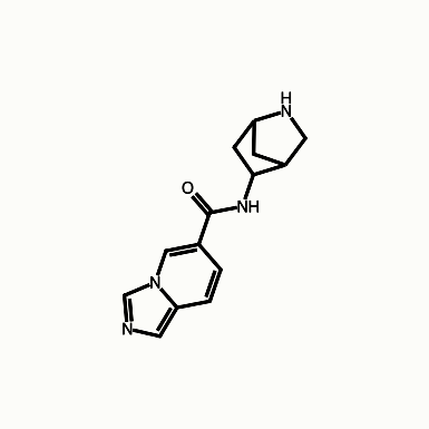 O=C(NC1CC2CC1CN2)c1ccc2cncn2c1